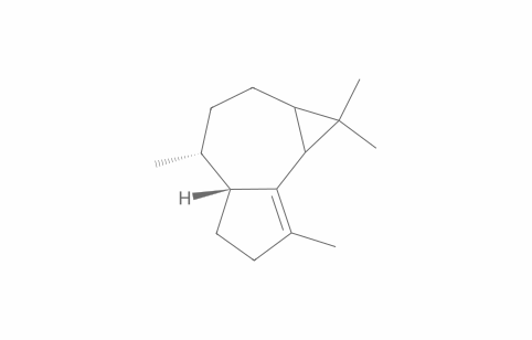 CC1=C2C3C(CC[C@@H](C)[C@H]2CC1)C3(C)C